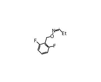 CC/[C]=N\OCc1c(F)cccc1F